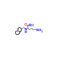 CNC(=O)C(CCCCN)NCc1ccc2ccccc2c1